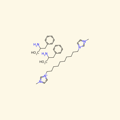 Cn1cc[n+](CCCCCCCCCC[n+]2ccn(C)c2)c1.NC(Cc1ccccc1)C(=O)O.NC(Cc1ccccc1)C(=O)O